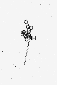 CCCCCCCCCCCCCCCC(=O)N[C@H]1C[C@H](COC(=O)OCc2ccccc2)[C@H](OP(O)(=S)OC)C1OC